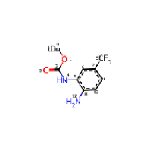 CC(C)(C)OC(=O)Nc1cc(C(F)(F)F)ccc1N